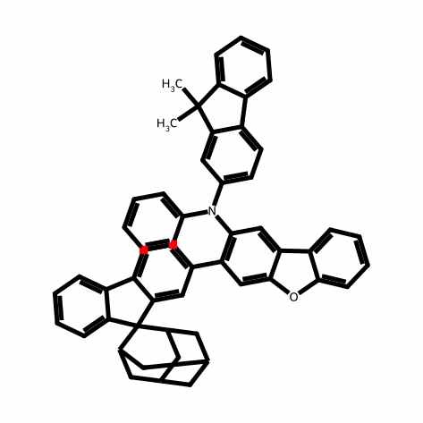 CC1(C)c2ccccc2-c2ccc(N(c3ccccc3)c3cc4c(cc3-c3ccc5c(c3)C3(c6ccccc6-5)C5CC6CC(C5)CC3C6)oc3ccccc34)cc21